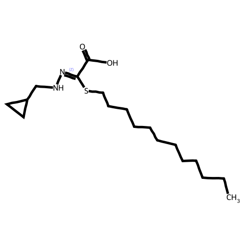 CCCCCCCCCCCCS/C(=N\NCC1CC1)C(=O)O